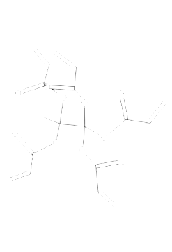 C=CC(=O)OC(C)(OC(=O)C=C)C(OC(=O)C=C)(OC(=O)C=C)OC(=O)C=C